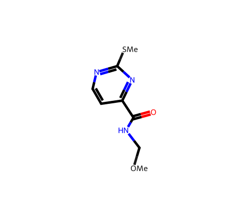 COCNC(=O)c1ccnc(SC)n1